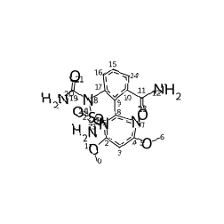 COc1cc(OC)nc(-c2c(C(N)=O)cccc2N(C(N)=O)S(N)(=O)=O)n1